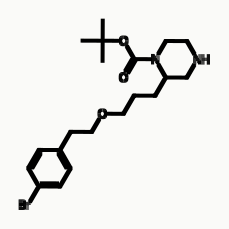 CC(C)(C)OC(=O)N1CCNCC1CCCOCCc1ccc(Br)cc1